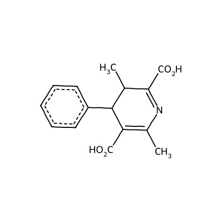 CC1=C(C(=O)O)C(c2ccccc2)C(C)C(C(=O)O)=N1